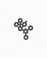 Cc1ccc2c(c1)C(c1ccccc1)(c1ccccc1)c1cccc(-c3nc(C4=CCCC=C4)nc(-c4ccccc4)n3)c1-2